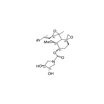 CO[C@H]1C(C2(C)O[C@@H]2/C=C/C(C)C)[C@]2(CC[C@H]1OC(=O)N1C[C@H](O)[C@@H](O)C1)CO2